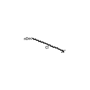 CCCCCCCCCCCCCCCCCCCCCCCCCCCCCCCCCCC[N+](C)(C)C.[Cl-]